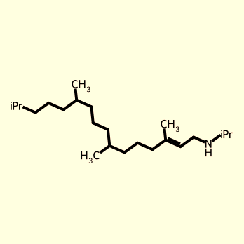 C/C(=C\CNC(C)C)CCCC(C)CCCC(C)CCCC(C)C